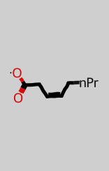 CCCC/C=C\CC([O])=O